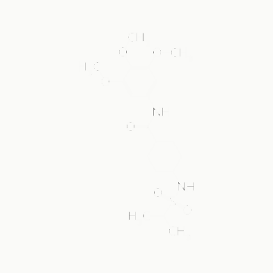 COc1cc(NC(=O)C2CCC(NS(=O)(=O)C(C)C)CC2)cc(OC)c1OC